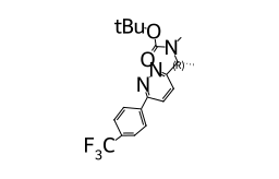 C[C@H](c1ccc(-c2ccc(C(F)(F)F)cc2)nn1)N(C)C(=O)OC(C)(C)C